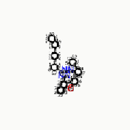 c1cc(-c2ccc(-c3ccc4ccccc4c3)cc2)cc(-c2nc(-c3cc4ccccc4c4oc5ccccc5c34)nc(-n3c4ccccc4c4ccccc43)n2)c1